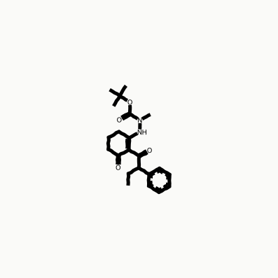 CCC(C(=O)C1=C(NN(C)C(=O)OC(C)(C)C)CCCC1=O)c1ccccc1